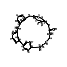 CC1(C)CN2CCN1CC(=O)NCCCNc1ncc(cn1)-c1ccnc(c1)Nc1cccc(c1)C2